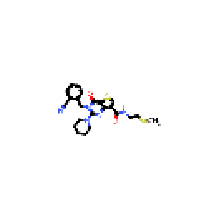 CSCCNC(=O)c1csc2c(=O)n(Cc3ccccc3C#N)c(N3CCCCC3)nc12